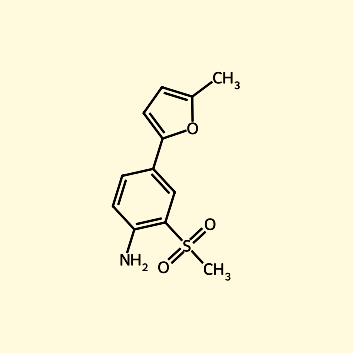 Cc1ccc(-c2ccc(N)c(S(C)(=O)=O)c2)o1